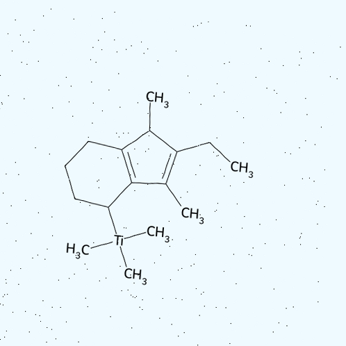 CCC1=C(C)C2=C(CCC[CH]2[Ti]([CH3])([CH3])[CH3])C1C